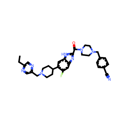 CCc1cnc(CN2CCC(c3cc4[nH]c(C(=O)N5CCN(Cc6ccc(C#N)cc6)CC5)nc4cc3F)CC2)cn1